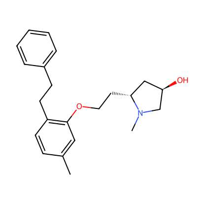 Cc1ccc(CCc2ccccc2)c(OCC[C@@H]2C[C@@H](O)CN2C)c1